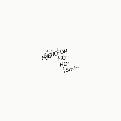 [Fe+2].[OH-].[OH-].[OH-].[OH-].[OH-].[Sm+3]